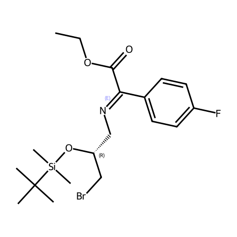 CCOC(=O)/C(=N/C[C@H](CBr)O[Si](C)(C)C(C)(C)C)c1ccc(F)cc1